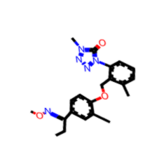 CC/C(=N\OC)c1ccc(OCc2c(C)cccc2-n2nnn(C)c2=O)c(C)c1